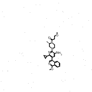 COCCC(=O)N1CCN(c2nc(C3CC3)c(-c3cnc(OC)c4ccccc34)cc2N)C[C@H]1C